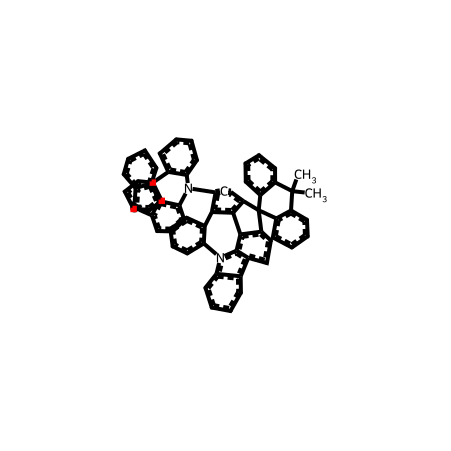 CC1(C)c2ccccc2C2(c3ccccc31)c1ccc(N(c3ccccc3-c3ccccc3)c3cccc4oc5ccccc5c34)c3c1-c1c2ccc2c4ccccc4n(c12)-c1ccccc1-3